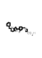 O=C(O)C1CN(Cc2ccc(-c3cc4nc(Cc5ccccc5)ccc4o3)c(F)c2)C1